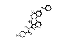 CCN(C(=O)C1CCNCC1)c1sc2nccc3c2c1NC(=O)N3c1ccc(Oc2ccccc2)cc1C